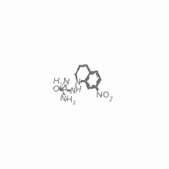 NP(N)(=O)NN1CCCc2ccc([N+](=O)[O-])cc21